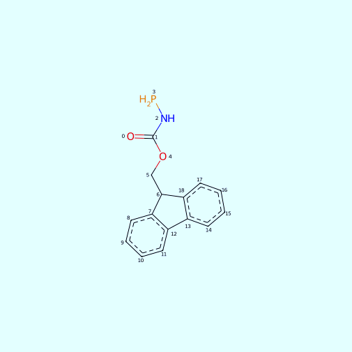 O=C(NP)OCC1c2ccccc2-c2ccccc21